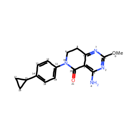 COc1nc(N)c2c(n1)CCN(c1ccc(C3CC3)cc1)C2=O